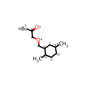 CCCCC(=O)COCC1CC(C)C[CH]C1C